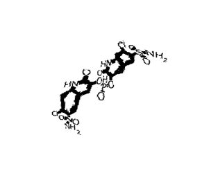 NS(=O)(=O)c1cc2cc(O[PH](=O)Oc3cc4cc(S(N)(=O)=O)c(Cl)cc4[nH]c3=O)c(=O)[nH]c2cc1Cl